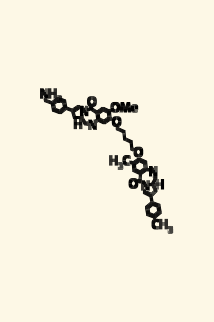 COc1cc2c(cc1OCCCCCOc1cc3c(cc1C)C(=O)N1C=C(c4ccc(C)cc4)C[C@H]1C=N3)N=C[C@@H]1CC(c3ccc(CN)cc3)=CN1C2=O